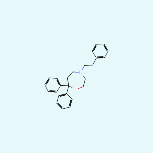 c1ccc(CCN2CCOC(c3ccccc3)(c3ccccc3)CC2)cc1